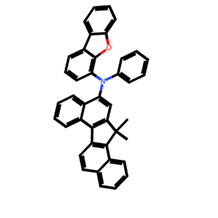 CC1(C)c2cc(N(c3ccccc3)c3cccc4c3oc3ccccc34)c3ccccc3c2-c2ccc3ccccc3c21